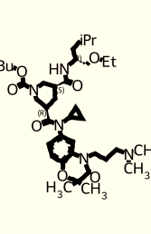 CCOC[C@@H](CC(C)C)NC(=O)[C@H]1C[C@@H](C(=O)N(c2ccc3c(c2)N(CCCN(C)C)C(=O)C(C)(C)O3)C2CC2)CN(C(=O)OC(C)(C)C)C1